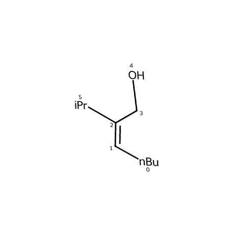 CCCCC=C(CO)C(C)C